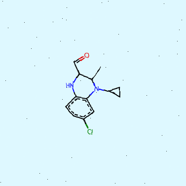 CC1C(C=O)Nc2ccc(Cl)cc2N1C1CC1